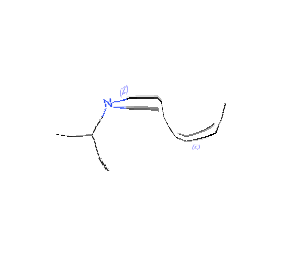 C/C=C\C=N/C(C)C